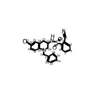 N#Cc1ccccc1S(=O)(=O)NC1Cc2cc(Cl)ccc2N(Cc2ccccc2)C1